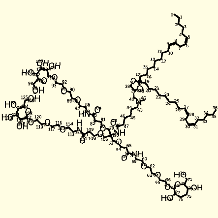 CCCCC/C=C\C/C=C\CCCCCCCCC1(CCCCCCCC/C=C\C/C=C\CCCCC)OC[C@H](CN(C)CCCCCC(=O)NC(COCCC(=O)NCCOCCOCCO[C@@H]2OC(CO)C(O)CCC2O)(COCCC(=O)NCCOCCOCCO[C@@H]2OC(CO)[C@@H](O)C(O)[C@H]2O)COCCC(=O)NCCOCCOCCO[C@@H]2OC(CO)[C@@H](O)C(O)[C@H]2O)O1